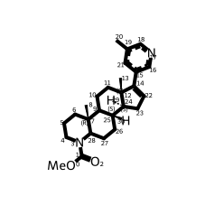 COC(=O)N1CCC[C@]2(C)C3CC[C@]4(C)C(c5cncc(C)c5)=CC[C@H]4[C@@H]3CCC12